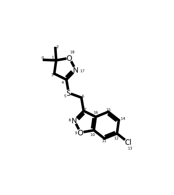 CC1(C)CC(SCc2noc3cc(Cl)ccc23)=NO1